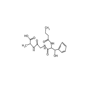 CCCC(=O)NC(C(=O)NCC(=O)NC(C)C(=O)O)C(O)c1ccccc1